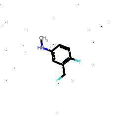 CNc1ccc(F)c(CF)c1